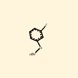 CCCCOc1[c]ccc(F)c1